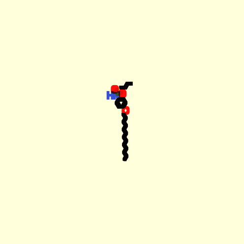 CCCCCCCCCCCCCOc1ccc(NS(=O)(=O)CCCC)cc1